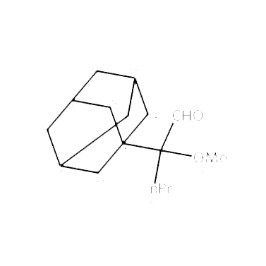 CCCC(C=O)(OC)C12CC3CC(CC(C3)C1)C2